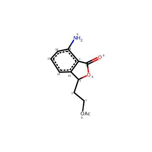 CC(=O)OCCC1OC(=O)c2c(N)cccc21